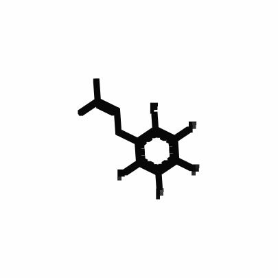 CC(C)=CCc1c(F)c(F)c(F)c(F)c1F